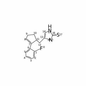 Fc1ccccc1C1=CCCC1CC1=CNC(=S)[N]1